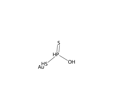 O[PH](=S)S.[Au]